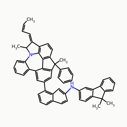 C/C=C\C=C1\c2ccc3c4c2N(c2ccccc2-c2cc(-c5cccc6ccc(Nc7ccc8c(c7)-c7ccccc7C8(C)C)cc56)cc(c2-4)C3(C)c2ccccc2)C1C